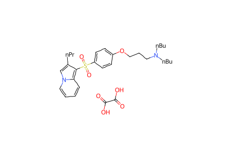 CCCCN(CCCC)CCCOc1ccc(S(=O)(=O)c2c(CCC)cn3ccccc23)cc1.O=C(O)C(=O)O